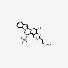 COCCCOc1c(C)c[n+]2c(c1C)CSn1c-2nc2ccccc21.F[B-](F)(F)F